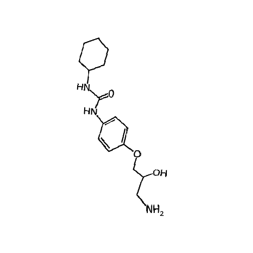 NCC(O)COc1ccc(NC(=O)NC2CCCCC2)cc1